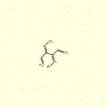 C=CC(=N/C)/C(C=C)=N\C(C)C